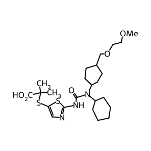 COCCOCC1CCC(N(C(=O)Nc2ncc(SC(C)(C)C(=O)O)s2)C2CCCCC2)CC1